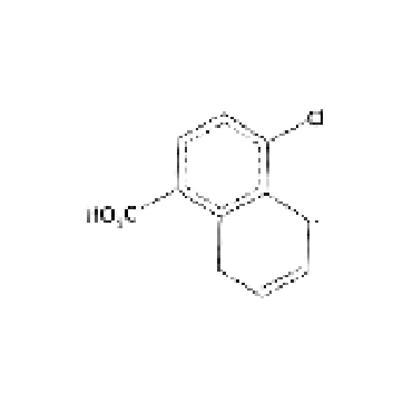 O=C(O)c1ccc(Cl)c2c1CC=C[CH]2